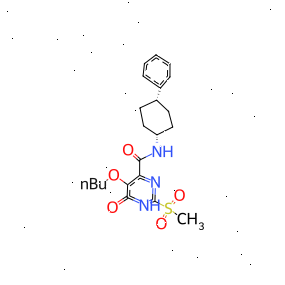 CCCCOc1c(C(=O)N[C@H]2CC[C@@H](c3ccccc3)CC2)nc(S(C)(=O)=O)[nH]c1=O